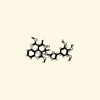 COC(=O)C1=C(C)NC(C)(Nc2nc(-c3cc(OC)c(OC)c(OC)c3)cs2)C(C(=O)OC)C1c1ccccc1